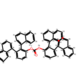 O=C(Oc1cccc(-c2cccc3ccccc23)c1-c1cccc2ccccc12)Oc1cccc(-c2cccc3ccccc23)c1-c1cccc2ccccc12